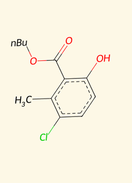 CCCCOC(=O)c1c(O)ccc(Cl)c1C